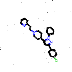 Clc1ccc(-c2cc(C3CCN(CCc4ccccn4)CC3)n(-c3ccccc3)n2)cc1